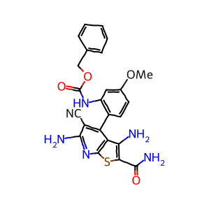 COc1ccc(-c2c(C#N)c(N)nc3sc(C(N)=O)c(N)c23)c(NC(=O)OCc2ccccc2)c1